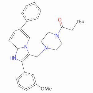 COc1cccc(C2=C(CN3CCN(C(=O)CC(C)(C)C)CC3)N3C=C(c4ccccc4)C=CC3N2)c1